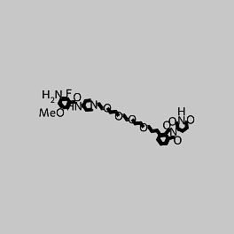 COc1cc(N)c(F)c(C(=O)NC2CCN(CCOCCOCCOCCOCCCc3cccc4c3C(=O)N(C3CCC(=O)NC3=O)C4=O)CC2)c1